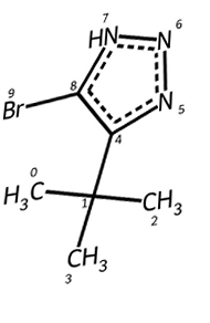 CC(C)(C)c1nn[nH]c1Br